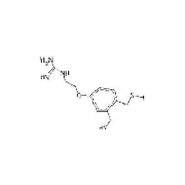 N=C(N)NCCOc1ccc(CSI)c(CS)c1